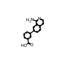 Nc1nccc2ccc(-c3cccc(C(=O)O)c3)cc12